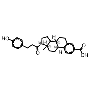 C[C@]12CC[C@@H]3c4ccc(C(=O)O)cc4CC[C@H]3[C@@H]1CC[C@@H]2C(=O)CCc1ccc(O)cc1